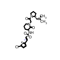 CN(C)C[C@@H]1CCCN1C(=O)CN1CCC[C@H](NS(=O)(=O)/C=C/c2ccc(Cl)s2)C1=O